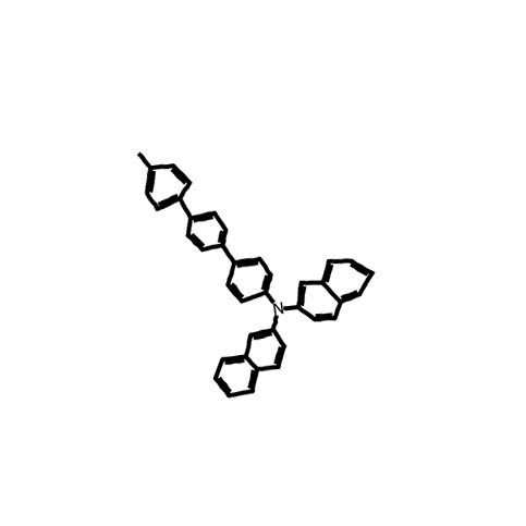 Cc1ccc(-c2ccc(-c3ccc(N(c4ccc5ccccc5c4)c4ccc5ccccc5c4)cc3)cc2)cc1